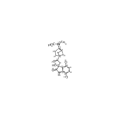 CN(C)C1=C2CC(C(=O)CC3(O)C(=O)Nc4c(Cl)ccc(Cl)c43)(CC1)C2